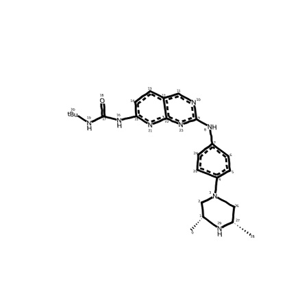 C[C@@H]1CN(c2ccc(Nc3ncc4ccc(NC(=O)NC(C)(C)C)nc4n3)cc2)C[C@H](C)N1